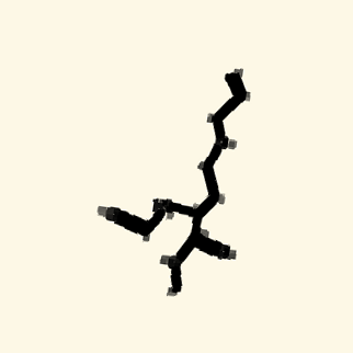 C=CCOCCC(NC=O)C(=O)OC